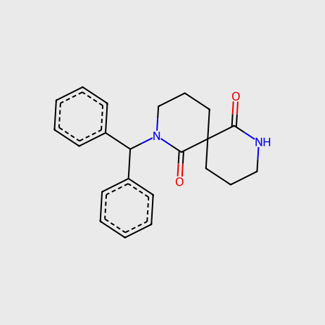 O=C1NCCCC12CCCN(C(c1ccccc1)c1ccccc1)C2=O